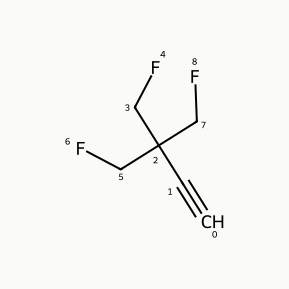 C#CC(CF)(CF)CF